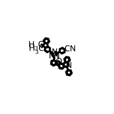 CC1(C)C2=C(CC(c3nc(-c4cccc5c4oc4c5ccc5c(-c6ccccc6)nc6ccccc6c54)nc(C4C=CC(C#N)=CC4)n3)C=C2)c2ccccc21